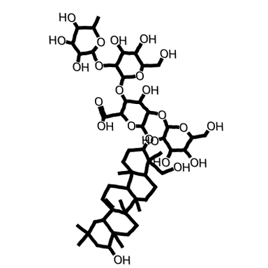 CC1OC(OC2C(OC3C(C(=O)O)OC(OC4CCC5(C)C(CCC6(C)C5CC=C5C7CC(C)(C)CC(O)C7(C)CCC56C)C4(C)CO)C(OC4OC(CO)C(O)C(O)C4O)C3O)OC(CO)C(O)C2O)C(O)C(O)C1O